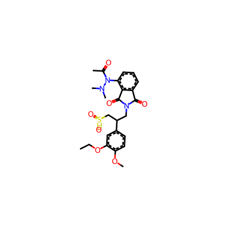 CCOc1cc(C(CN2C(=O)c3cccc(N(C(C)=O)N(C)C)c3C2=O)C[SH](=O)=O)ccc1OC